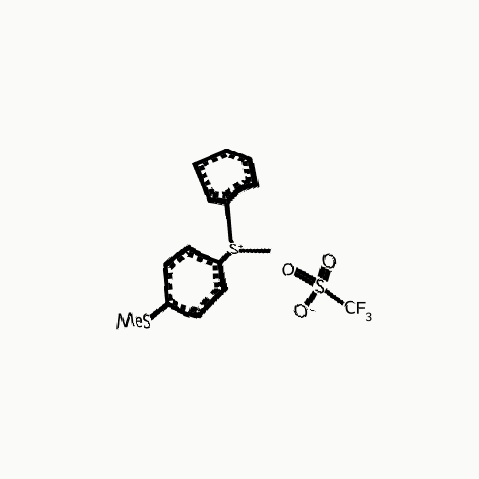 CSc1ccc([S+](C)c2ccccc2)cc1.O=S(=O)([O-])C(F)(F)F